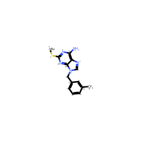 CCCCSc1nc(N)c2ncn(Cc3cccc(C(F)(F)F)c3)c2n1